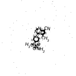 Cc1cc(C#N)c2ncnc(N3CCC(N(C)S(N)(=O)=O)CC3)n12